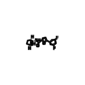 O=C(N[C@@H]1C[C@H]2CC[C@@H]1N2)c1ccc(-c2cc(F)cc(F)c2)o1